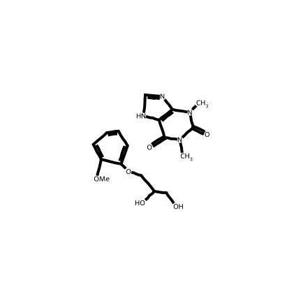 COc1ccccc1OCC(O)CO.Cn1c(=O)c2[nH]cnc2n(C)c1=O